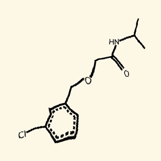 CC(C)NC(=O)COCc1cccc(Cl)c1